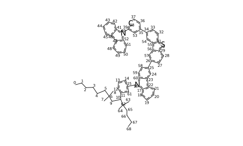 CCCCCCC(C)(C)CC(c1cccc(-n2c3ccccc3c3cc(-c4ccc5sc6ccc(-c7cccc(-n8c9ccccc9c9ccccc98)c7)cc6c5c4)ccc32)c1)C(C)(C)CCCC